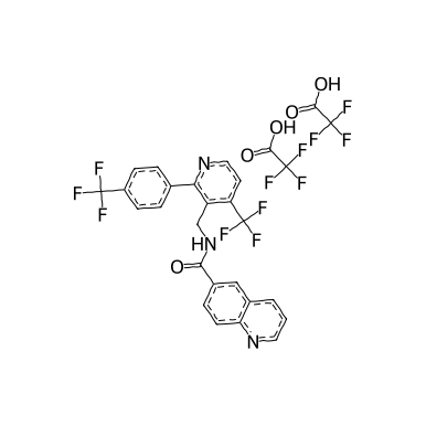 O=C(NCc1c(C(F)(F)F)ccnc1-c1ccc(C(F)(F)F)cc1)c1ccc2ncccc2c1.O=C(O)C(F)(F)F.O=C(O)C(F)(F)F